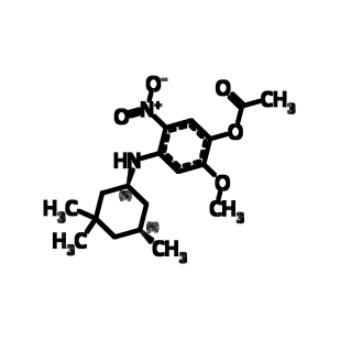 COc1cc(N[C@H]2C[C@@H](C)CC(C)(C)C2)c([N+](=O)[O-])cc1OC(C)=O